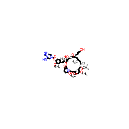 CO[C@H]1C[C@@H](C)C/C(C)=C/[C@@H](C/C=C/CO)C(=O)C[C@H](O)[C@@H](C)[C@@H](/C(C)=C/[C@@H]2CC[C@@H](OC(=O)N3CCN(C=N)C(=N)C3)[C@H](OC)C2)OC(=O)[C@@H]2CCCCN2C(=O)C(=O)C2(O)C[C@H]1[C@@H](OC)C[C@H]2C